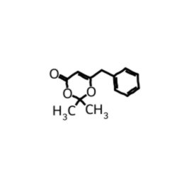 CC1(C)OC(=O)C=C(Cc2ccccc2)O1